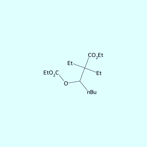 CCCCC(OC(=O)OCC)C(CC)(CC)C(=O)OCC